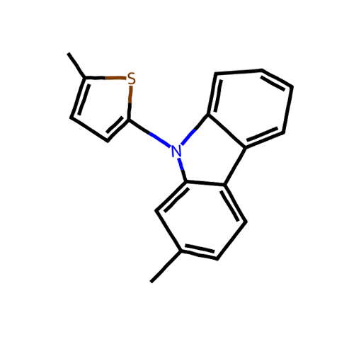 Cc1ccc2c3ccccc3n(-c3ccc(C)s3)c2c1